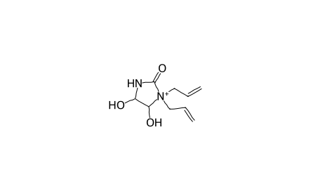 C=CC[N+]1(CC=C)C(=O)NC(O)C1O